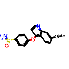 COc1ccc2c(Oc3ccc([S+](N)[O-])cc3)ccnc2c1